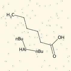 CCCCCC(=O)O.CCC[CH2][AlH][CH2]CCC